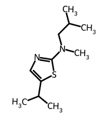 CC(C)CN(C)c1ncc(C(C)C)s1